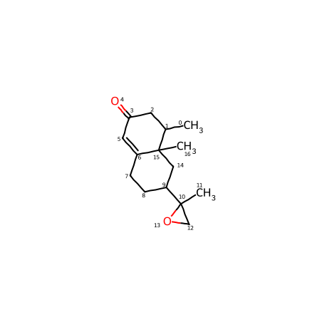 CC1CC(=O)C=C2CCC(C3(C)CO3)CC21C